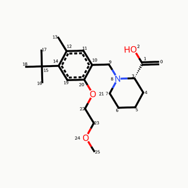 C=C(O)[C@@H]1CCCCN1Cc1cc(C)c(C(C)(C)C)cc1OCCOC